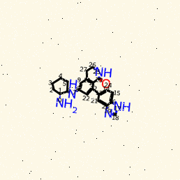 N[C@H]1CCCC[C@H]1Nc1cc2c(c(-c3ccc4[nH]cnc4c3)c1)C(=O)NCC2